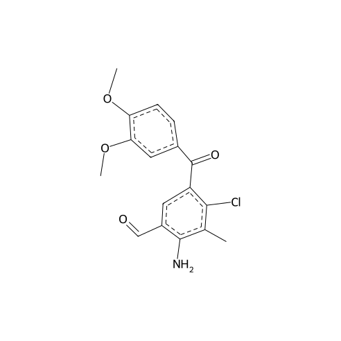 COc1ccc(C(=O)c2cc(C=O)c(N)c(C)c2Cl)cc1OC